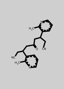 Cc1ncccc1C(CC#N)CC(=O)CC(CC#N)c1cccnc1C